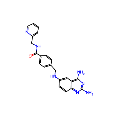 Nc1nc(N)c2cc(NCc3ccc(C(=O)NCc4ccccn4)cc3)ccc2n1